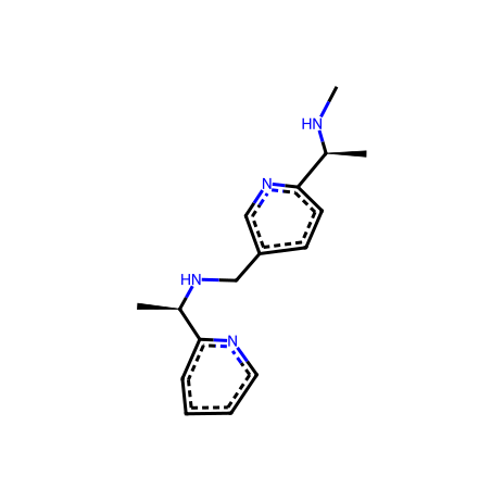 CN[C@@H](C)c1ccc(CN[C@H](C)c2ccccn2)cn1